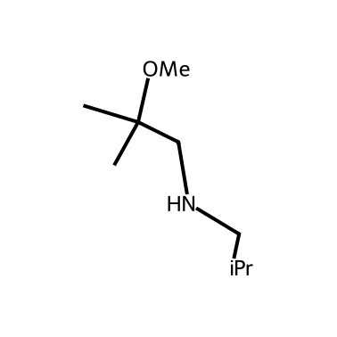 COC(C)(C)CNCC(C)C